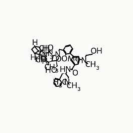 COc1c(CN2O[C@@H](CO)[C@@H]([C@H](C)O)[C@H]2C(=O)N[C@H]2C[C@H]3C[C@@H]([C@@H]2C)C3(C)C)cccc1-c1cc(C(=O)N[C@@H](Cc2ccccc2)CN(C)C)cc(N(C)CCO)c1